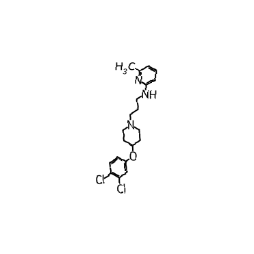 Cc1cccc(NCCCN2CCC(Oc3ccc(Cl)c(Cl)c3)CC2)n1